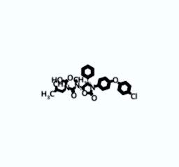 CC(C)CN(C(=O)O)C(=O)N(C)[C@H]1OC(=O)N(c2ccc(Oc3ccc(Cl)cc3)cc2)[C@H]1c1ccccc1